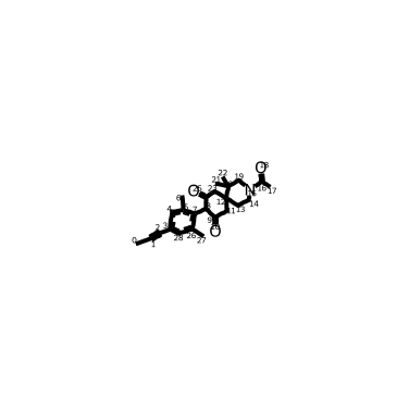 CC#Cc1cc(C)c(C2C(=O)CC3(CCN(C(C)=O)CC3(C)C)CC2=O)c(C)c1